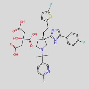 Cc1ccc(C(C)(C)N2CC[C@](CCc3ccc(F)s3)(c3ncc(-c4ccc(F)cc4)[nH]3)C2)cn1.O=C(O)CC(O)(CC(=O)O)C(=O)O